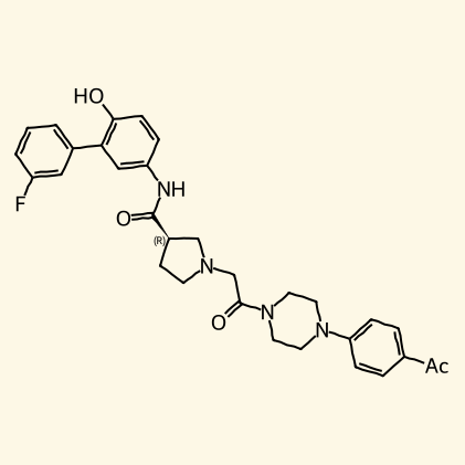 CC(=O)c1ccc(N2CCN(C(=O)CN3CC[C@@H](C(=O)Nc4ccc(O)c(-c5cccc(F)c5)c4)C3)CC2)cc1